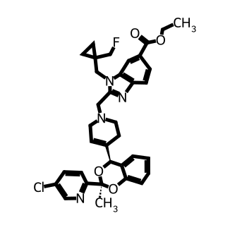 CCOC(=O)c1ccc2nc(CN3CC=C([C@@H]4O[C@](C)(c5ccc(Cl)cn5)Oc5ccccc54)CC3)n(CC3(CF)CC3)c2c1